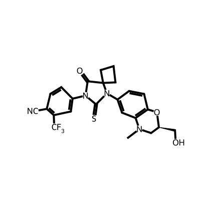 CN1C[C@H](CO)Oc2ccc(N3C(=S)N(c4ccc(C#N)c(C(F)(F)F)c4)C(=O)C34CCC4)cc21